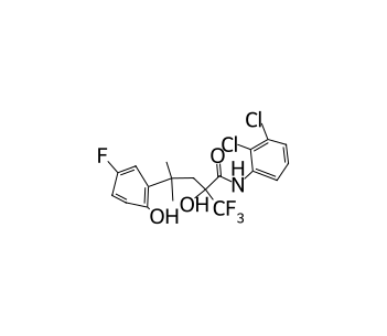 CC(C)(CC(O)(C(=O)Nc1cccc(Cl)c1Cl)C(F)(F)F)c1cc(F)ccc1O